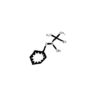 CCC(C)(C)N(O)Oc1ccccc1